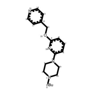 CCCCN1CCN(c2cccc(OCc3ccncc3)n2)CC1